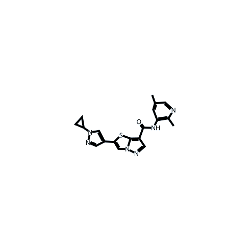 Cc1cnc(C)c(NC(=O)c2cnn3cc(-c4cnn(C5CC5)c4)sc23)c1